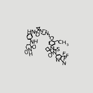 CCc1cc(N2C(=S)N(c3cnc(C#N)c(C(F)(F)F)c3)C(=O)C23CCC3)ccc1OCCN1CCN(C2(C(=O)Nc3cccc(NC4CCC(=O)NC4=O)c3)CC2)CC1